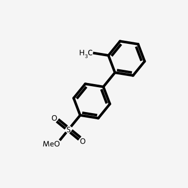 COS(=O)(=O)c1ccc(-c2ccccc2C)cc1